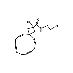 CCC1(C(=O)NCCCl)CC2(/C=C\C/C=C\C/C=C\C/C=C\2)C1